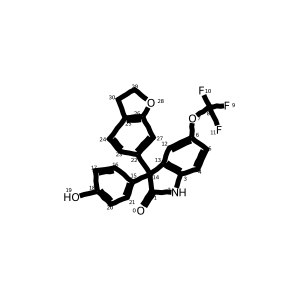 O=C1Nc2ccc(OC(F)(F)F)cc2C1(c1ccc(O)cc1)c1ccc2c(c1)OCC2